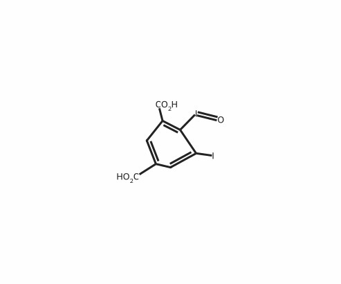 O=Ic1c(I)cc(C(=O)O)cc1C(=O)O